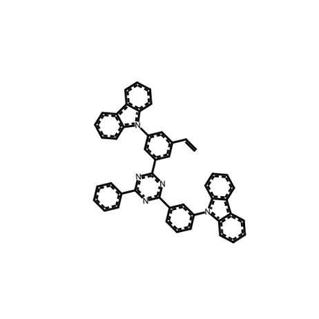 C=Cc1cc(-c2nc(-c3ccccc3)nc(-c3cccc(-n4c5ccccc5c5ccccc54)c3)n2)cc(-n2c3ccccc3c3ccccc32)c1